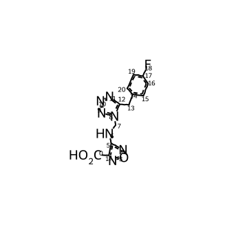 O=C(O)c1nonc1NCn1nnnc1Cc1ccc(F)cc1